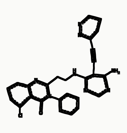 Nc1ncnc(NCCc2nc3cccc(Cl)c3c(=O)n2-c2ccccc2)c1C#Cc1cccnn1